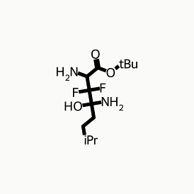 CC(C)CCC(N)(O)C(F)(F)C(N)C(=O)OC(C)(C)C